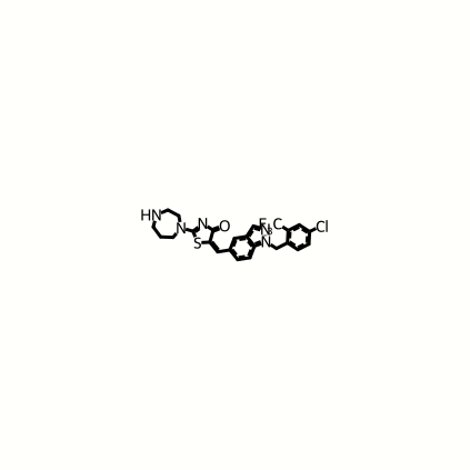 O=C1N=C(N2CCCNCC2)SC1=Cc1ccc2c(cnn2Cc2ccc(Cl)cc2C(F)(F)F)c1